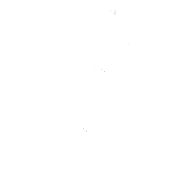 CCC(=O)N1CCC(NCC2(C=N)CC2)CC1